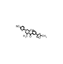 Cc1nc(-c2cccc(C(=O)N3C(C)CN(c4ccc(C#N)cn4)CC3C)c2)no1